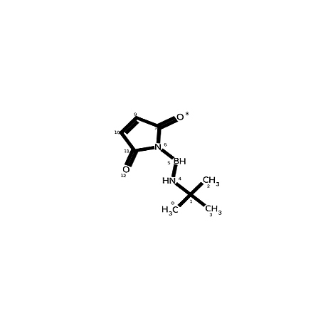 CC(C)(C)NBN1C(=O)C=CC1=O